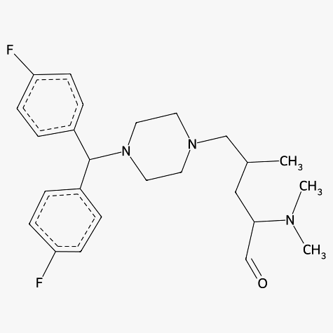 CC(CC(C=O)N(C)C)CN1CCN(C(c2ccc(F)cc2)c2ccc(F)cc2)CC1